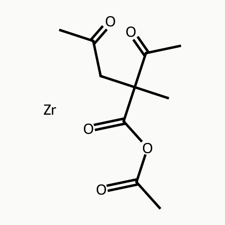 CC(=O)CC(C)(C(C)=O)C(=O)OC(C)=O.[Zr]